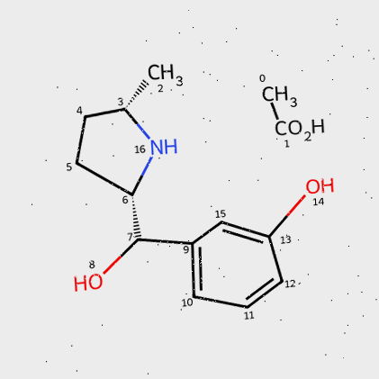 CC(=O)O.C[C@H]1CC[C@@H](C(O)c2cccc(O)c2)N1